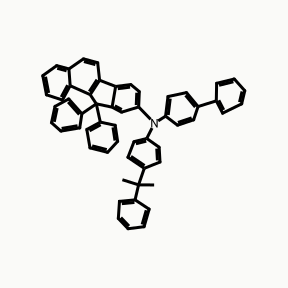 CC(C)(c1ccccc1)c1ccc(N(c2ccc(-c3ccccc3)cc2)c2ccc3c(c2)C(c2ccccc2)(c2ccccc2)c2c-3ccc3ccccc23)cc1